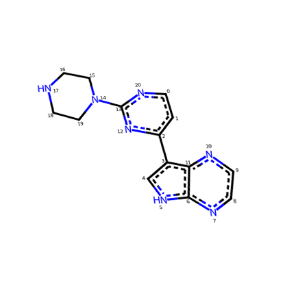 c1cc(-c2c[nH]c3nccnc23)nc(N2CCNCC2)n1